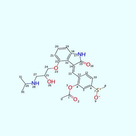 CC(=O)Oc1cc([S+](C)[O-])ccc1C=C1C(=O)Nc2cccc(OCC(O)CNC(C)C)c21